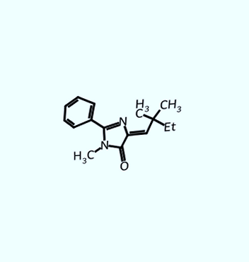 CCC(C)(C)/C=C1\N=C(c2ccccc2)N(C)C1=O